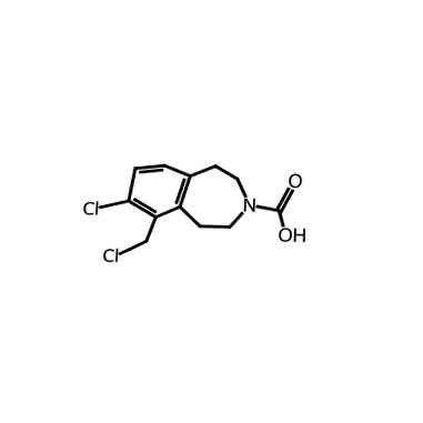 O=C(O)N1CCc2ccc(Cl)c(CCl)c2CC1